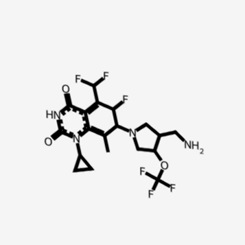 CC1=c2c(c(=O)[nH]c(=O)n2C2CC2)=C(C(F)F)C(F)C1N1CC(CN)C(OC(F)(F)F)C1